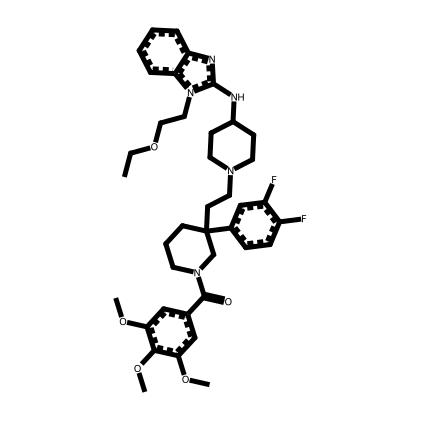 CCOCCn1c(NC2CCN(CCC3(c4ccc(F)c(F)c4)CCCN(C(=O)c4cc(OC)c(OC)c(OC)c4)C3)CC2)nc2ccccc21